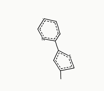 Cc1csc(-c2cc[c]cn2)c1